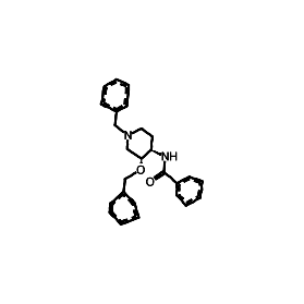 O=C(N[C@@H]1CCN(Cc2ccccc2)C[C@H]1OCc1ccccc1)c1ccccc1